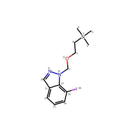 C[Si](C)(C)CCOCn1ncc2cccc(I)c21